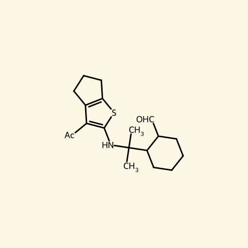 CC(=O)c1c(NC(C)(C)C2CCCCC2C=O)sc2c1CCC2